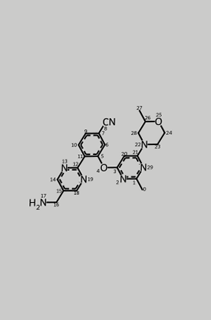 Cc1nc(Oc2cc(C#N)ccc2-c2ncc(CN)cn2)cc(N2CCOC(C)C2)n1